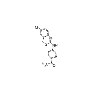 CC(=O)c1ccc(NC2=Nc3ccc(Cl)cc3CS2)cc1